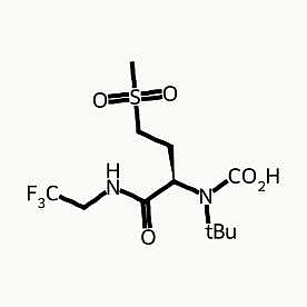 CC(C)(C)N(C(=O)O)[C@H](CCS(C)(=O)=O)C(=O)NCC(F)(F)F